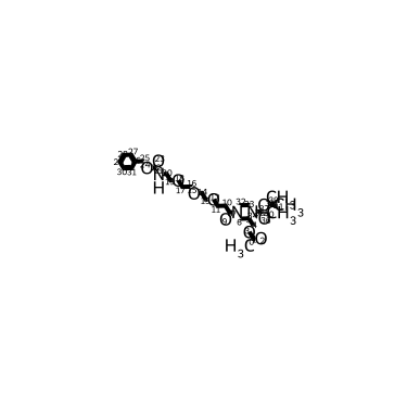 CC(=O)OCC1CN(C(=O)CCOCCOCCOCCNC(=O)OCc2ccccc2)CCN1C(=O)OC(C)(C)C